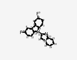 Fc1ccc2c(c1)c1cc(F)ccc1n2-c1cn2ccccc2n1